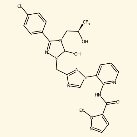 CCn1nccc1C(=O)Nc1ncccc1-n1cnc(CN2N=C(c3ccc(Cl)cc3)N(C[C@H](O)C(F)(F)F)C2O)n1